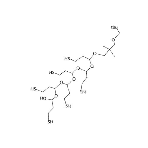 CC(C)(C)COCC(C)(C)COC(CCS)OC(CCS)OC(CCS)OC(CCS)OC(CCS)OC(O)CCS